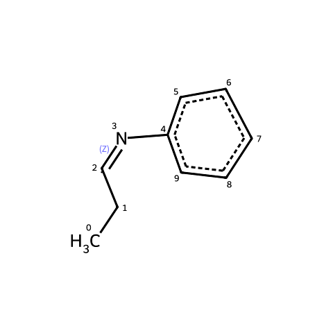 CC/[C]=N\c1ccccc1